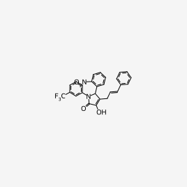 O=C1C(O)=C(CC=Cc2ccccc2)C(c2ccccc2[N+](=O)[O-])N1c1cccc(C(F)(F)F)c1